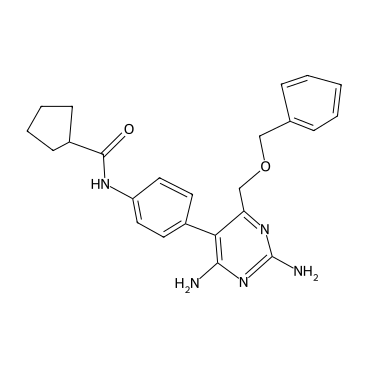 Nc1nc(N)c(-c2ccc(NC(=O)C3CCCC3)cc2)c(COCc2ccccc2)n1